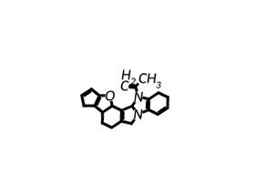 C=C(C)N1C2=C(C=CCC2)N2CC3=C(C4OC5=C(CC=C5)C4CC3)C21